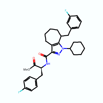 COC(=O)[C@H](Cc1ccc(F)cc1)NC(=O)c1nn(C2CCCCC2)c2c1CCCCC2Cc1cccc(F)c1